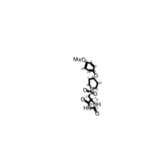 COc1ccc(OC2CCN(S(=O)(=O)C[C@@]3(C)NC(=O)NC3=O)CC2)cc1